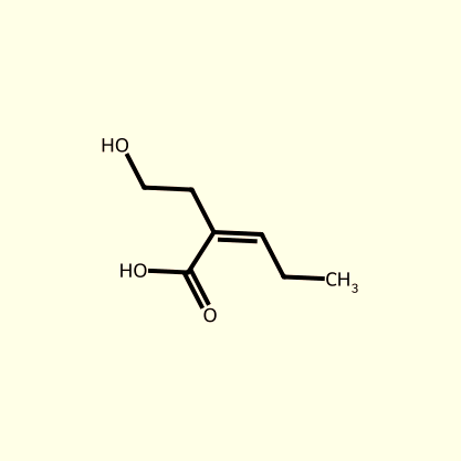 CCC=C(CCO)C(=O)O